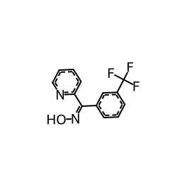 ON=C(c1cccc(C(F)(F)F)c1)c1ccccn1